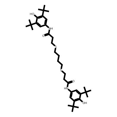 CC(C)(C)c1cc(NC(=O)CCSCCCCSCCC(=O)Nc2cc(C(C)(C)C)c(O)c(C(C)(C)C)c2)cc(C(C)(C)C)c1O